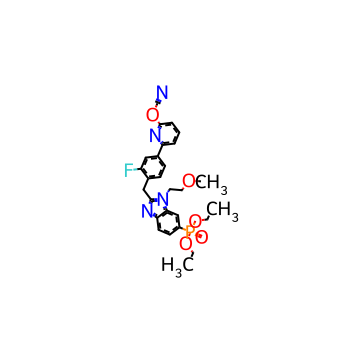 CCOP(=O)(OCC)c1ccc2nc(Cc3ccc(-c4cccc(OC#N)n4)cc3F)n(CCOC)c2c1